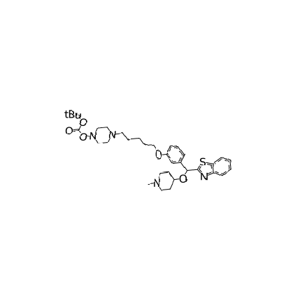 CN1CCC(OC(c2cccc(OCCCCCN3CCN(OC(=O)OC(C)(C)C)CC3)c2)c2nc3ccccc3s2)CC1